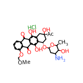 COCOc1cccc2c1C(=O)c1c(O)c3c(c(O)c1C2=O)C[C@@](O)(C(C)=O)C[C@@H]3OC1CC(N)C(O)C(C)O1.Cl